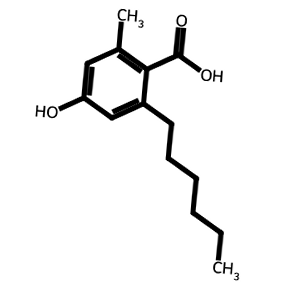 CCCCCCc1cc(O)cc(C)c1C(=O)O